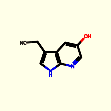 N#CCc1c[nH]c2ncc(O)cc12